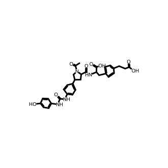 CC(=O)N1CC(c2ccc(NC(=O)Nc3ccc(O)cc3)cc2)CC1C(=O)NC(Cc1ccc(CCC(=O)O)cc1)C(=O)O